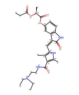 C[CH]C(=O)O[C@@H](C)C(=O)Oc1ccc2c(c1)/C(=C/c1[nH]c(C)c(C(=O)NCCN(CC)CC)c1C)C(=O)N2